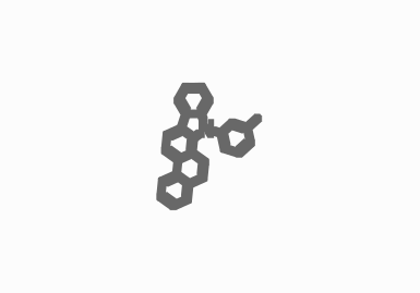 Cc1cccc(-n2c3ccccc3c3ccc4c5ccccc5ccc4c32)c1